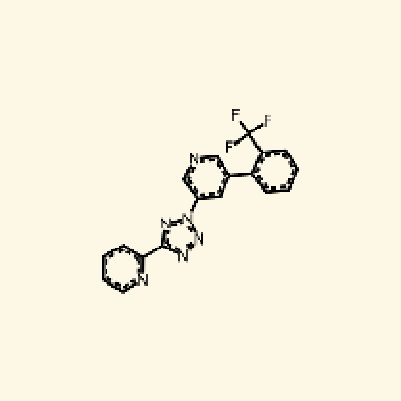 FC(F)(F)c1ccccc1-c1cncc(-n2nnc(-c3ccccn3)n2)c1